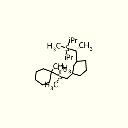 CC(C)S(C)(C(C)C)[C@H](C)C1CCCC(CS(C)(C)C2(C)CCCCC2)C1